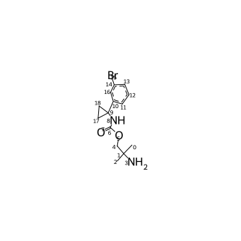 CC(C)(N)COC(=O)NC1(c2cccc(Br)c2)CC1